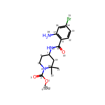 CC(C)(C)OC(=O)N1CCC(NC(=O)c2ccc(Br)cc2N)CC1(C)C